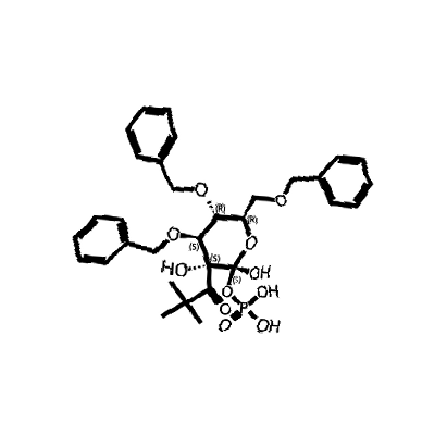 CC(C)(C)C(=O)[C@@]1(O)[C@@H](OCc2ccccc2)[C@H](OCc2ccccc2)[C@@H](COCc2ccccc2)O[C@]1(O)OP(=O)(O)O